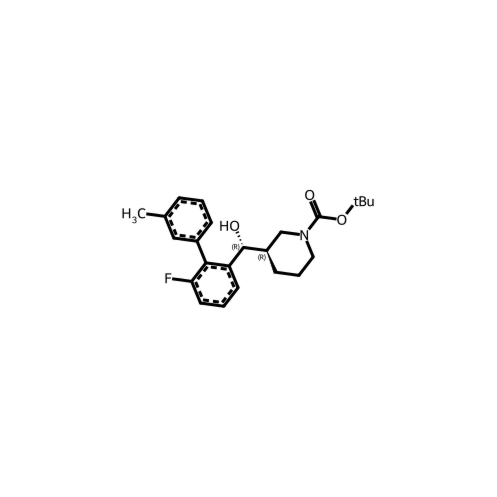 Cc1cccc(-c2c(F)cccc2[C@H](O)[C@@H]2CCCN(C(=O)OC(C)(C)C)C2)c1